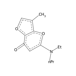 CCCN(CC)c1cc(=O)c2occ(C)c2o1